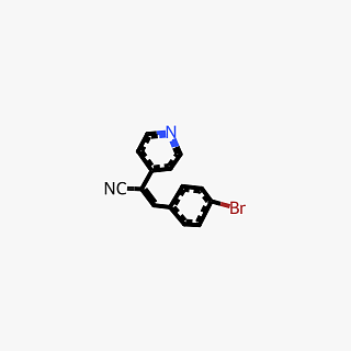 N#CC(=Cc1ccc(Br)cc1)c1ccncc1